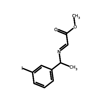 COC(=O)C=NC(C)c1cccc(I)c1